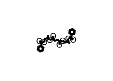 CC(COC(=O)c1ccccc1)OC(=O)CCC(=O)OCC(C)OC(=O)c1ccccc1